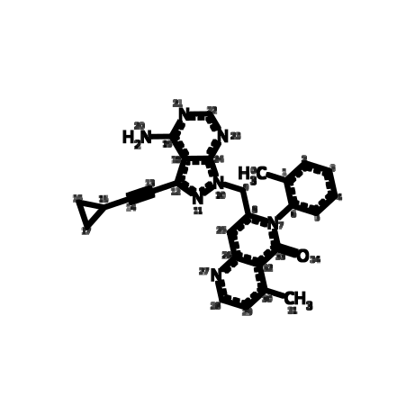 Cc1ccccc1-n1c(Cn2nc(C#CC3CC3)c3c(N)ncnc32)cc2nccc(C)c2c1=O